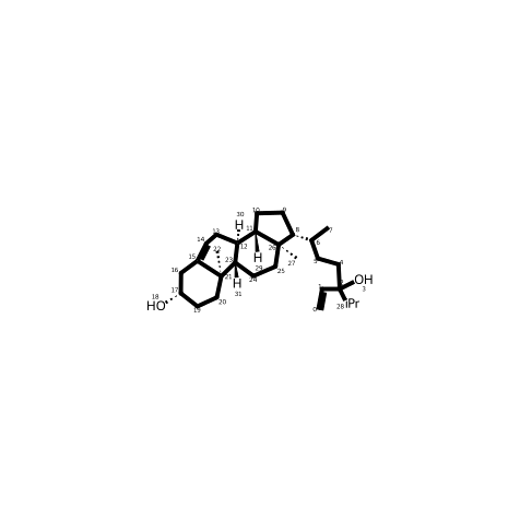 C=CC(O)(CCC(C)[C@H]1CC[C@H]2[C@@H]3CC=C4C[C@@H](O)CC[C@]4(C)[C@H]3CC[C@]12C)C(C)C